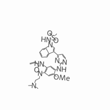 C=CC(=O)Nc1cc(Nc2nccc(-c3cn(NS(C)(=O)=O)c4ccccc34)n2)c(OC)cc1N(C)CCN(C)C